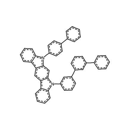 c1ccc(-c2ccc(-n3c4ccccc4c4cc5c6ccccc6n(-c6cccc(-c7cccc(-c8ccccc8)c7)c6)c5cc43)cc2)cc1